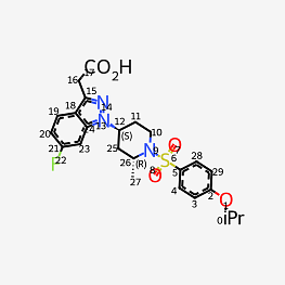 CC(C)Oc1ccc(S(=O)(=O)N2CC[C@H](n3nc(CC(=O)O)c4ccc(F)cc43)C[C@H]2C)cc1